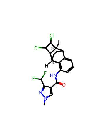 Cn1cc(C(=O)Nc2cccc3c2[C@H]2CCC3[C@H]3C(Cl)C(Cl)C32)c(C(F)F)n1